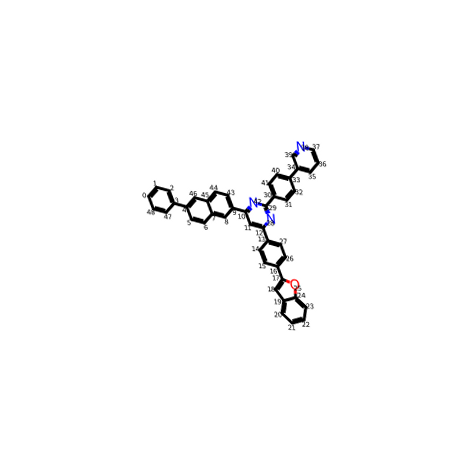 c1ccc(-c2ccc3cc(-c4cc(-c5ccc(-c6cc7ccccc7o6)cc5)nc(-c5ccc(-c6cccnc6)cc5)n4)ccc3c2)cc1